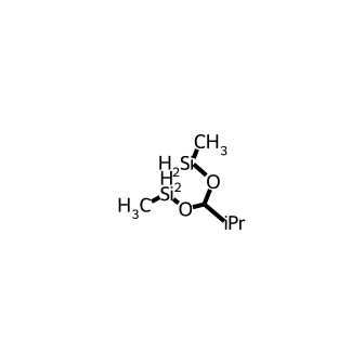 C[SiH2]OC(O[SiH2]C)C(C)C